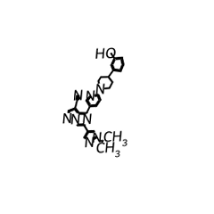 CC(C)n1cc(-c2cn3ncc(C#N)c3c(-c3ccc(N4CCC(c5cccc(O)c5)CC4)nc3)n2)cn1